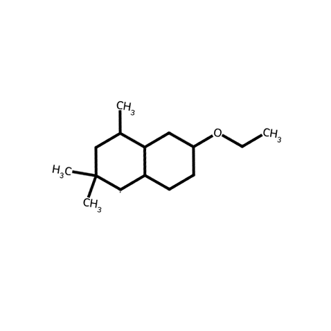 CCOC1CCC2[CH]C(C)(C)CC(C)C2C1